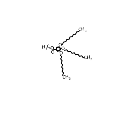 CCCCCCCCCCCCOc1cc(C(=O)OCC)cc(OCCCCCCCCCCCC)c1OCCCCCCCCCCCC